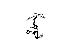 COP(=O)(OC)OCC(C)(CCc1ccc(Sc2cc(OCc3ccccc3)ccc2O)cc1Cl)NC(=O)OC(C)(C)C